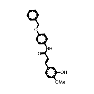 COc1ccc(C=CC(=O)Nc2ccc(OCc3ccccc3)cc2)cc1O